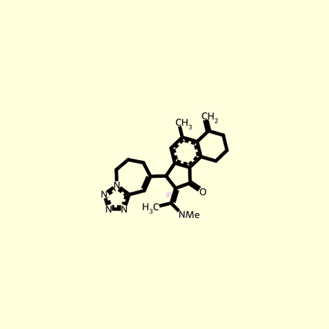 C=C1CCCc2c1c(C)cc1c2C(=O)/C(=C(/C)NC)C1C1=Cc2nnnn2CCC1